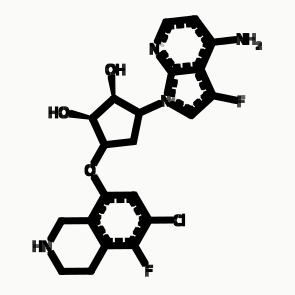 Nc1ccnc2c1c(F)cn2C1CC(Oc2cc(Cl)c(F)c3c2CNCC3)[C@@H](O)[C@H]1O